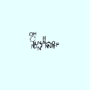 O[C@H]1CC[C@H](n2ncc3ncc(Nc4cc(OC(F)F)[nH]n4)nc32)CC1